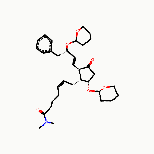 CN(C)C(=O)CCC/C=C\C[C@H]1[C@@H](OC2CCCCO2)CC(=O)[C@@H]1/C=C/[C@H](Cc1ccccc1)OC1CCCCO1